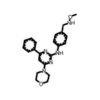 CONCc1ccc(Nc2nc(-c3ccccc3)cc(N3CCOCC3)n2)cc1